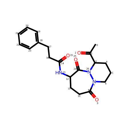 CC(=O)C1CCCN2C(=O)CCC(NC(=O)CCc3ccccc3)C(=O)N12